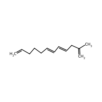 C=CCCCC=CC=CCC(=C)C